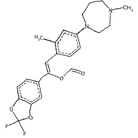 Cc1cc(N2CCCN(C)CC2)ccc1/C=C(\OC=O)c1ccc2c(c1)OC(F)(F)O2